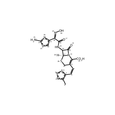 Cc1nnsc1/C=C\C1=C(C(=O)O)N2C(=O)C(NC(=O)/C(=N\O)c3csc(N)n3)[C@@H]2SC1